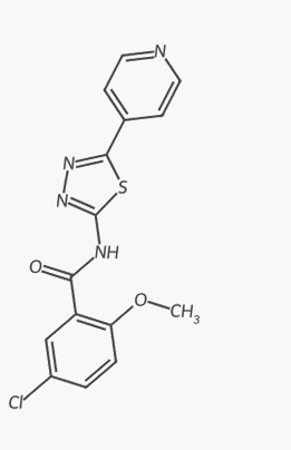 COc1ccc(Cl)cc1C(=O)Nc1nnc(-c2ccncc2)s1